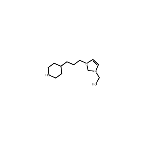 OCN1C=CN(CCCC2CCNCC2)C1